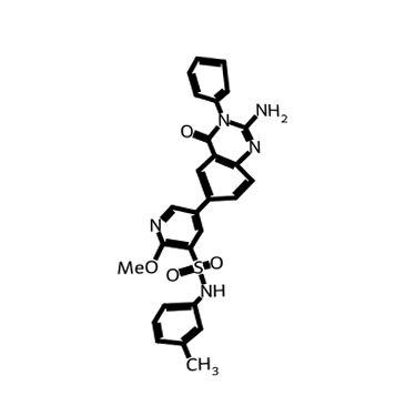 COc1ncc(-c2ccc3nc(N)n(-c4ccccc4)c(=O)c3c2)cc1S(=O)(=O)Nc1cccc(C)c1